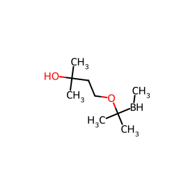 CBC(C)(C)OCCC(C)(C)O